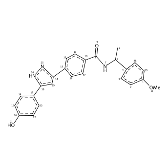 COc1ccc(C(C)NC(=O)c2ccc(-c3cc(-c4ccc(O)cc4)[nH]n3)cc2)cc1